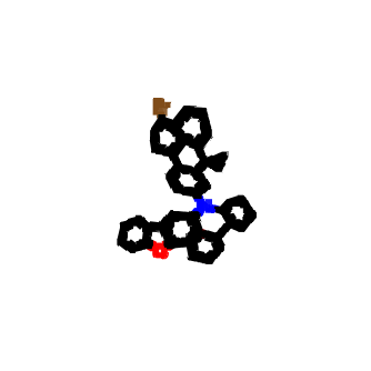 Brc1ccc2c3c(cccc13)C1(CC1)c1cc(N(c3ccc4oc5ccccc5c4c3)c3ccccc3-c3ccccc3)ccc1-2